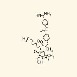 CCOC(=O)CN(C(=O)C(C)=Cc1ccc(C(=O)Oc2ccc(C(=N)N)cc2)cc1)[C@@H](CC(C)C)C(=O)OCC